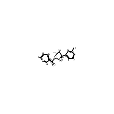 Cc1cccc(C2=NN(C(=O)c3cccnc3)CC2)c1